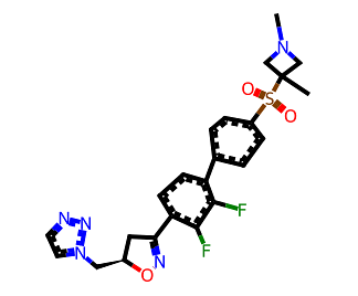 CN1CC(C)(S(=O)(=O)c2ccc(-c3ccc(C4=NO[C@@H](Cn5ccnn5)C4)c(F)c3F)cc2)C1